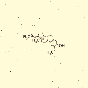 CCc1cc2c(cc1O)CCC1C2CC[C@]2(C)C(=CSC)CCC12